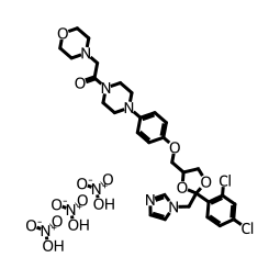 O=C(CN1CCOCC1)N1CCN(c2ccc(OCC3COC(Cn4ccnc4)(c4ccc(Cl)cc4Cl)O3)cc2)CC1.O=[N+]([O-])O.O=[N+]([O-])O.O=[N+]([O-])O